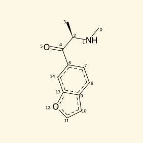 CN[C@H](C)C(=O)c1ccc2ccoc2c1